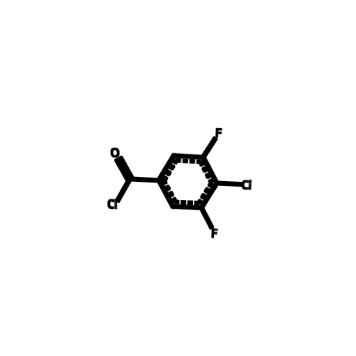 O=C(Cl)c1cc(F)c(Cl)c(F)c1